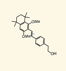 COc1cc2c(c(OC)c1/C=C/c1ccc(CCO)cc1)C(C)(C)CCC2(C)C